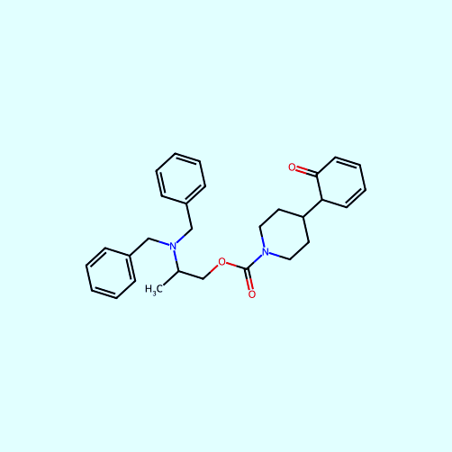 CC(COC(=O)N1CCC(C2C=CC=CC2=O)CC1)N(Cc1ccccc1)Cc1ccccc1